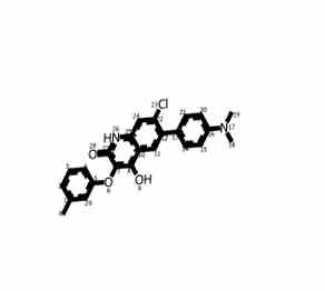 Cc1cccc(Oc2c(O)c3cc(-c4ccc(N(C)C)cc4)c(Cl)cc3[nH]c2=O)c1